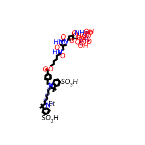 CC[N+]1=C(/C=C/C=C/C=C2/N(Cc3ccc(C(=O)OCCCCCC(=O)NCc4cn([C@H]5C[C@@H](ON)[C@@H](COP(=O)(O)OP(=O)(O)OP(=O)(O)O)O5)c(=O)[nH]c4=O)cc3)c3ccc(S(=O)(=O)O)cc3C2(C)C)C(C)(C)c2cc(S(=O)(=O)O)ccc21